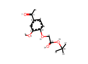 COc1cc(C(C)=O)ccc1OCC(=O)OC(C)(C)C